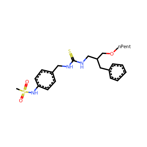 CCCCCOCC(CNC(=S)NCc1ccc(NS(C)(=O)=O)cc1)Cc1ccccc1